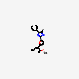 C=C/C=C(\C(=C)OC(C)(C)C)c1ccc(-c2nc(C(/C=C\C)=C/C)c(C)[nH]2)o1